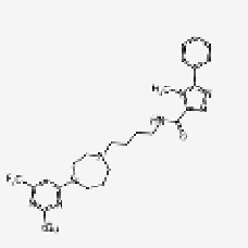 Cn1c(C(=O)NCCCCN2CCCN(c3cc(C(F)(F)F)nc(C(C)(C)C)n3)CC2)nnc1-c1ccccc1